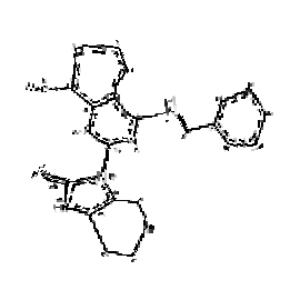 COc1cccc2c(NCc3ccccc3)nc(-n3c4c([nH]c3=N)CCCC4)nc12